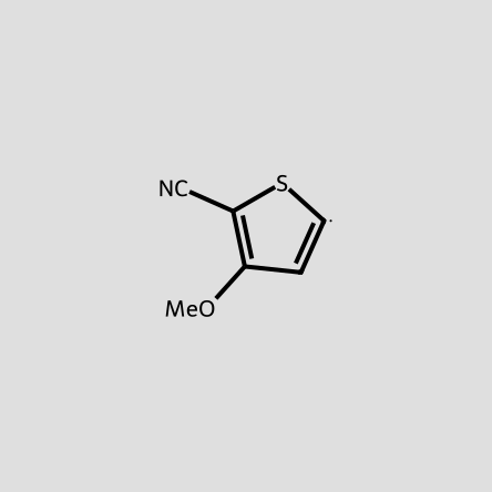 COc1c[c]sc1C#N